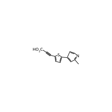 Cc1cc(-c2ccc(C#CC(=O)O)s2)ccn1